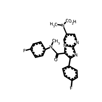 CN(C(=O)O)c1cnc2nc(-c3ccc(F)cc3)c(C(=O)N(C)c3ccc(F)cc3)n2c1